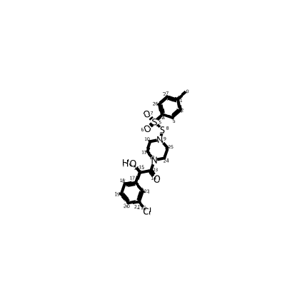 Cc1ccc(S(=O)(=O)SN2CCN(C(=O)C(O)c3cccc(Cl)c3)CC2)cc1